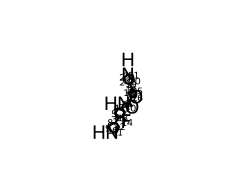 O=C(Nc1ccc(C2=CCNCC2)c(F)c1)c1cc(C2=CCNCC2)co1